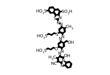 Cc1cc(N=Nc2cc(OCCCS(=O)(=O)O)c(N=Nc3c(C)c(C#N)c4nc5ccccc5n4c3O)cc2CO)c(SCCCS(=O)(=O)O)cc1N=Nc1nc2c(S(=O)(=O)O)cc3ccc(S(=O)(=O)O)cc3c2s1